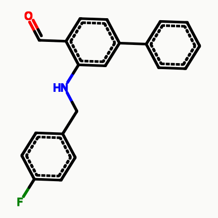 O=Cc1ccc(-c2ccccc2)cc1NCc1ccc(F)cc1